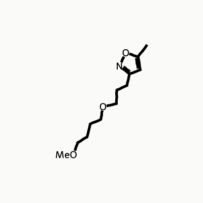 COCCCCOCCCc1cc(C)on1